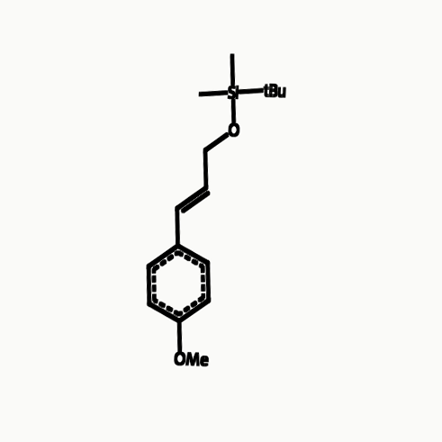 COc1ccc(C=CCO[Si](C)(C)C(C)(C)C)cc1